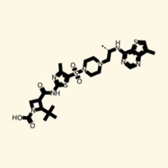 Cc1nc(NC(=O)C2CN(C(=O)O)C2C(C)(C)C)sc1S(=O)(=O)N1CCN(C[C@H](C)Nc2ncnc3c(C)csc23)CC1